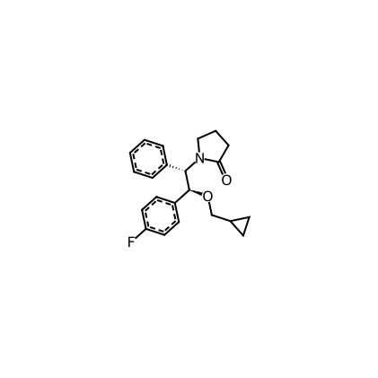 O=C1CCCN1[C@@H](c1ccccc1)[C@@H](OCC1CC1)c1ccc(F)cc1